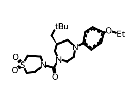 CCOc1ccc(N2CCN(C(=O)N3CCS(=O)(=O)CC3)C[C@@H](CC(C)(C)C)C2)cc1